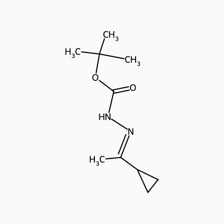 C/C(=N\NC(=O)OC(C)(C)C)C1CC1